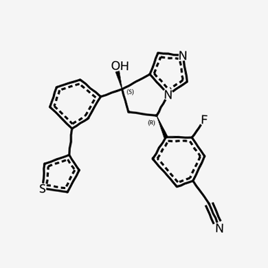 N#Cc1ccc([C@H]2C[C@](O)(c3cccc(-c4ccsc4)c3)c3cncn32)c(F)c1